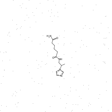 CC(CNC(=O)CCCCC(N)=O)n1ccnc1